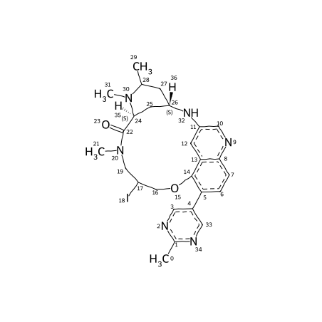 Cc1ncc(-c2ccc3ncc4cc3c2OCC(I)CN(C)C(=O)[C@@H]2C[C@H](CC(C)N2C)N4)cn1